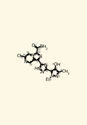 CCn1nc(C)c(O)c1-c1n[nH]c(-c2nc(C(N)=O)n3cc(Cl)ncc23)n1